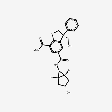 CNC(=O)c1cc(C(=O)N[C@H]2[C@@H]3C[C@H](O)C[C@@H]32)cc2c1OC[C@@]2(CO)c1ccccc1